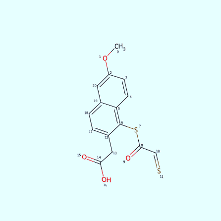 COc1ccc2c(SC(=O)C=S)c(CC(=O)O)ccc2c1